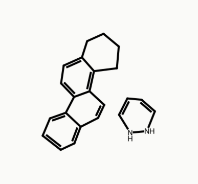 C1=CNNC=C1.c1ccc2c(c1)ccc1c3c(ccc12)CCCC3